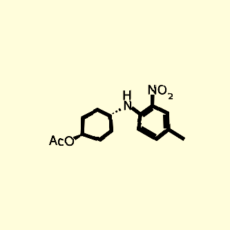 CC(=O)O[C@H]1CC[C@H](Nc2ccc(C)cc2[N+](=O)[O-])CC1